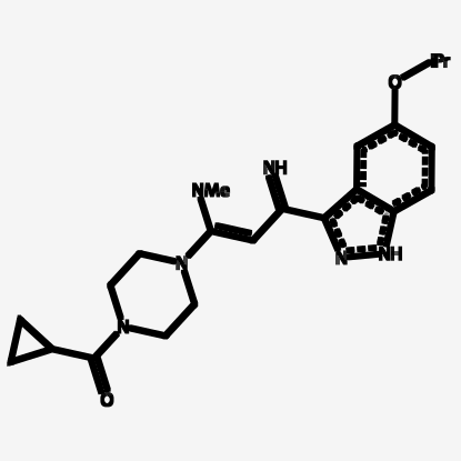 CN/C(=C\C(=N)c1n[nH]c2ccc(OC(C)C)cc12)N1CCN(C(=O)C2CC2)CC1